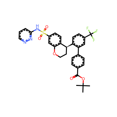 CC(C)(C)OC(=O)c1ccc(-c2cc(C(F)(F)F)ccc2[C@H]2CCOc3cc(S(=O)(=O)Nc4cccnn4)ccc32)cc1